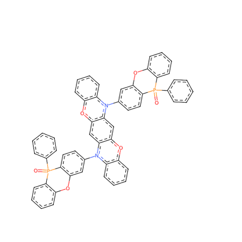 O=P1(c2ccccc2)c2ccccc2Oc2cc(-n3c4ccccc4oc4cc5c(cc43)oc3ccccc3n5-c3ccc4c(c3)Oc3ccccc3P4(=O)c3ccccc3)ccc21